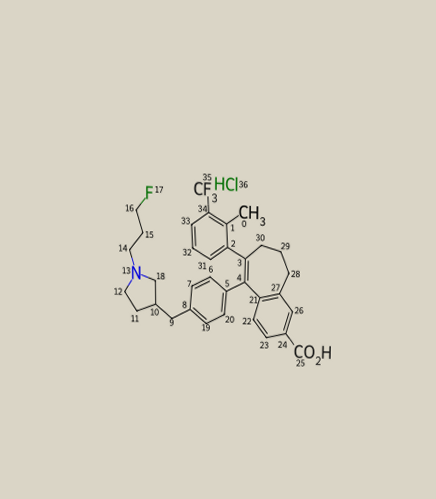 Cc1c(C2=C(c3ccc(CC4CCN(CCCF)C4)cc3)c3ccc(C(=O)O)cc3CCC2)cccc1C(F)(F)F.Cl